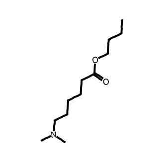 CCCCOC(=O)CCCCCN(C)C